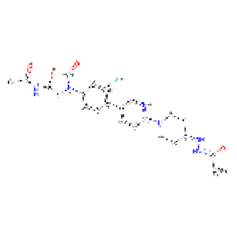 CCC(=O)NC1CN(c2ccc(-c3ccc(N4CCC(NNC(=O)OC)CC4)nc3)c(F)c2)C(=O)O1